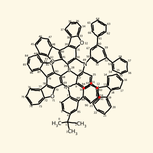 CC(C)(C)c1ccc(N2c3cc(-n4c5ccccc5c5ccccc54)cc4c3B(c3c(c5oc6ccccc6c5c5c3oc3ccccc35)N4c3cc(-c4ccccc4)cc(-c4ccccc4)c3)c3c2c2oc4ccccc4c2c2c3oc3ccccc32)c(-c2ccccc2)c1